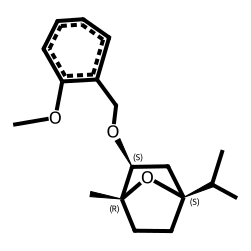 COc1ccccc1CO[C@H]1C[C@]2(C(C)C)CC[C@@]1(C)O2